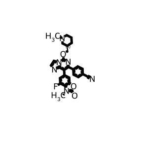 CN1CCC[C@@H](COc2nc(-c3ccc(C#N)cc3)c(-c3cc(F)c4c(c3)oc(=O)n4C)c3nccn23)C1